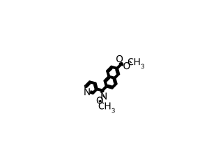 CO/N=C(\c1cccnc1)c1ccc2cc(C(=O)OC)ccc2c1